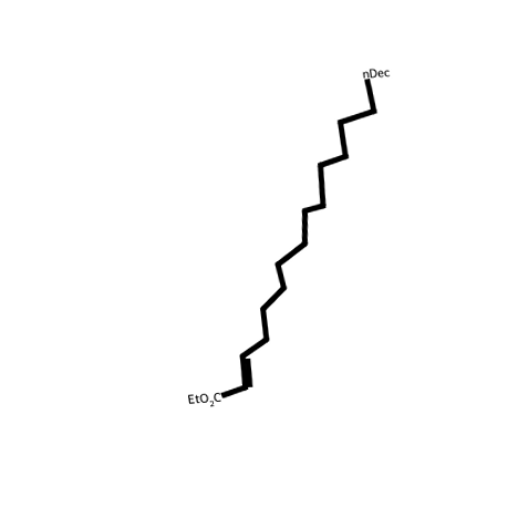 CCCCCCCCCCCCCCCCCCCCCC=CC(=O)OCC